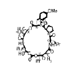 CC[C@H](C)C1NC(=O)[C@@H](N)[C@@H](C)OC(=O)[C@H](Cc2ccc(OC)cc2)N(C)C(=O)C2CCCN2C(=O)[C@H](CC(C)C)NC(=O)[C@@H](C)C(=O)[C@H](C(C)C)OC(=O)C[C@@H]1O